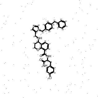 NC(=O)C(Cc1ccc(Cl)cc1)NC(=O)c1cccc2c1OCCC2NCc1cncn1Cc1ccc(Cc2ccccc2)cc1